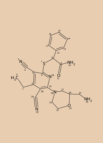 CCc1c(C#N)c(SC(C(N)=O)c2ccccc2)nc(N2CCOC(CN)C2)c1C#N